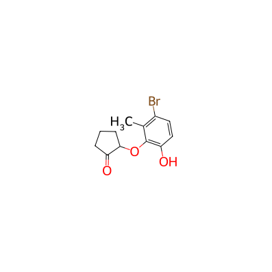 Cc1c(Br)ccc(O)c1OC1CCCC1=O